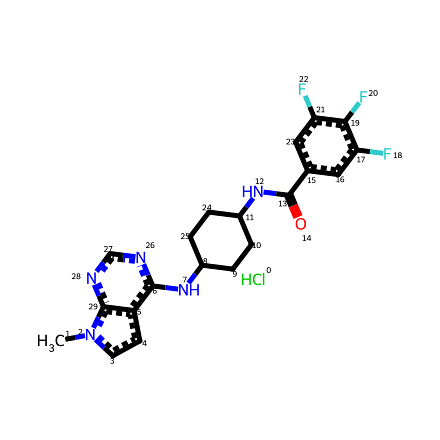 Cl.Cn1ccc2c(NC3CCC(NC(=O)c4cc(F)c(F)c(F)c4)CC3)ncnc21